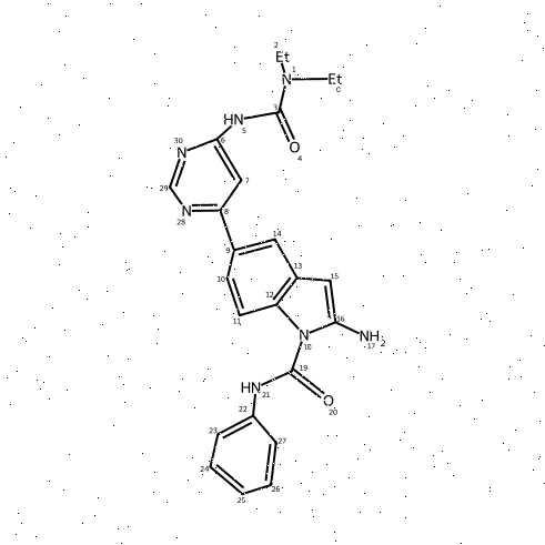 CCN(CC)C(=O)Nc1cc(-c2ccc3c(c2)cc(N)n3C(=O)Nc2ccccc2)ncn1